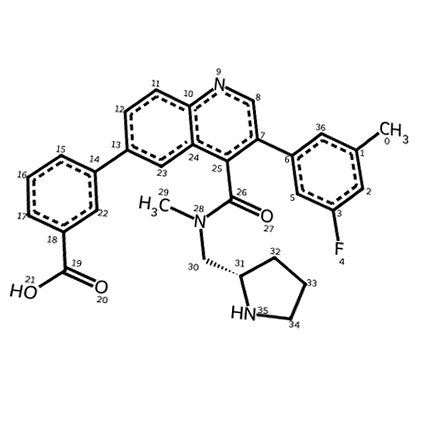 Cc1cc(F)cc(-c2cnc3ccc(-c4cccc(C(=O)O)c4)cc3c2C(=O)N(C)C[C@@H]2CCCN2)c1